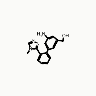 Cn1cnnc1-c1ccccc1-c1cc(N)cc(CO)c1